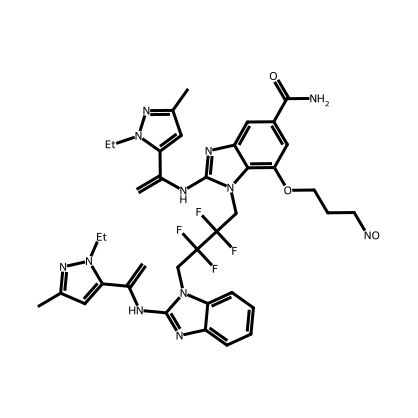 C=C(Nc1nc2ccccc2n1CC(F)(F)C(F)(F)Cn1c(NC(=C)c2cc(C)nn2CC)nc2cc(C(N)=O)cc(OCCCN=O)c21)c1cc(C)nn1CC